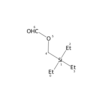 CC[Si](CC)(CC)COC=O